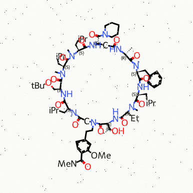 CC[C@H]1C(=O)N[C@@H]([C@@H](C)O)C(=O)N(CCc2ccc(C(=O)NC)c(OC)c2)CC(=O)N(C)[C@@H](CC(C)C)C(=O)N[C@@H](COC(C)(C)C)C(=O)N(C)[C@@H](CC(C)C)C(=O)N(C)[C@@H](CC(C)C)C(=O)N[C@H](C(=O)N2CCCCC2)CC(=O)N[C@H](C)C(=O)N(C)[C@@H](Cc2ccccc2)C(=O)N[C@@H](CC(C)C)C(=O)N1C